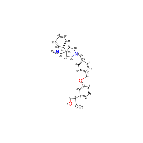 CCC1OCC1c1cccc(OCc2ccc(CN3CCC4(CC3)CN(C)c3ccccc34)cc2)c1